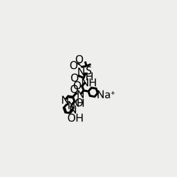 CC1(C)S[C@@H]2[C@H](NC(=O)C(NC(=O)c3cnc4ccc(O)nn4c3=O)C3CCCCC3)C(=O)N2[C@H]1C(=O)[O-].[Na+]